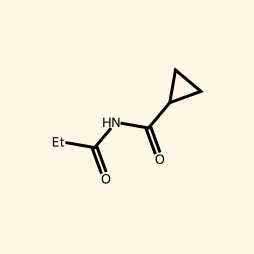 CCC(=O)NC(=O)C1CC1